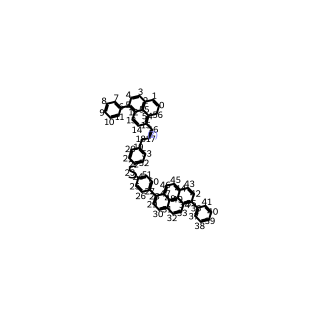 C1=Cc2ccc(-c3ccccc3)c3ccc(/C=C\Cc4ccc(Sc5ccc(-c6ccc7ccc8c(-c9ccccc9)ccc9ccc6c7c98)cc5)cc4)c(c23)C1